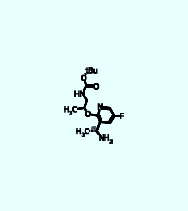 CC(CNC(=O)OC(C)(C)C)Oc1ncc(F)cc1[C@@H](C)N